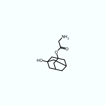 NCC(=O)OC12CC3CC(CC(O)(C3)C1)C2